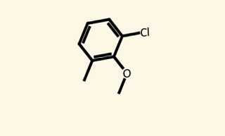 COc1c(C)cccc1Cl